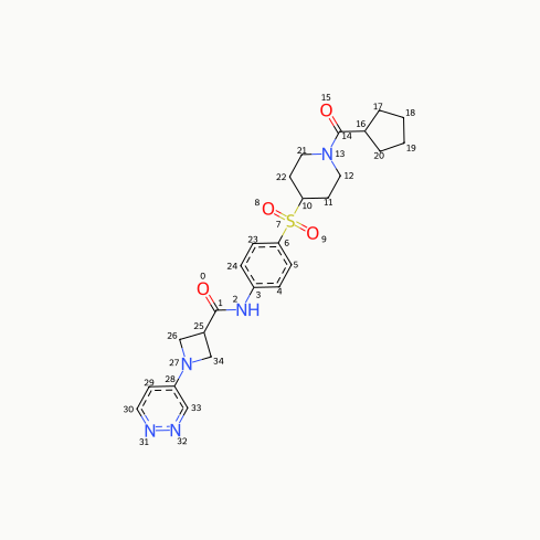 O=C(Nc1ccc(S(=O)(=O)C2CCN(C(=O)C3CCCC3)CC2)cc1)C1CN(c2ccnnc2)C1